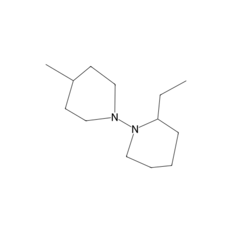 CCC1CCCCN1N1CCC(C)CC1